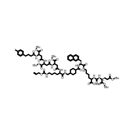 C=CCOC(=O)NCCCCC(NC(=O)CC(NC(=O)CC(NC(=O)CC(NC(=O)CCCc1ccc(I)cc1)C(=O)OC(C)(C)C)C(=O)OC(C)(C)C)C(=O)OC(C)(C)C)C(=O)NCC1CCC(C(=O)N[C@@H](Cc2ccc3ccccc3c2)C(=O)NCCCCC(NC(=O)N[C@@H](CCC(=O)OC(C)(C)C)C(=O)OC(C)(C)C)C(=O)OC)CC1